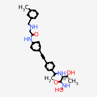 C=C(N[C@H](C(=O)NO)[C@@H](C)O)c1ccc(C#Cc2ccc(NC(=O)CNCc3cccc(C)c3)cc2)cc1